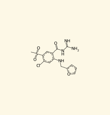 CS(=O)(=O)c1cc(C(=O)NC(=N)N)c(NCc2ccco2)cc1Cl